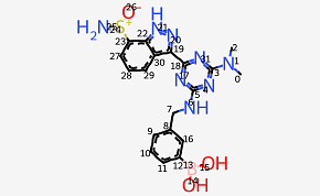 CN(C)c1nc(NCc2cccc(B(O)O)c2)nc(-c2n[nH]c3c([S+](N)[O-])cccc23)n1